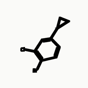 Clc1cc([C]2CC2)ccc1Br